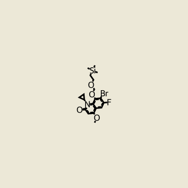 COc1cc(=O)n(C2CC2)c2c(OCOCC[Si](C)(C)C)c(Br)c(F)cc12